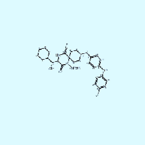 CCCCCN1C(=O)C([C@H](O)C2CCCCC2)NC(=O)C12CCN(Cc1ccc(Oc3ccc(I)cc3)cc1)CC2